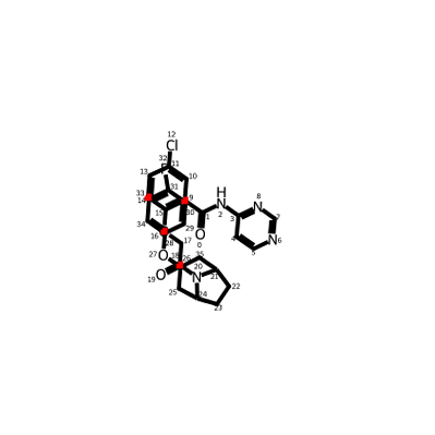 O=C(Nc1ccncn1)c1cc(Cl)ccc1OCC(=O)N1C2CCC1CC(Oc1ccc(F)cc1)C2